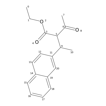 CCOC(=O)C(C(C)=O)C(C)c1ccc2ccccc2c1